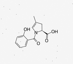 CC1=CN(C(=O)c2ccccc2O)[C@H](C(=O)O)C1